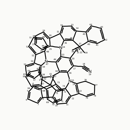 CC1(C)c2ccccc2-c2ccc3c4c(n(-c5c(C#N)c(C#N)c(-n6c7ccccc7c7ccc8c(c76)C(C)(C)c6ccccc6-8)c(-n6c7ccccc7c7ccccc76)c5-n5c6ccccc6c6ccccc65)c3c21)CCC=C4